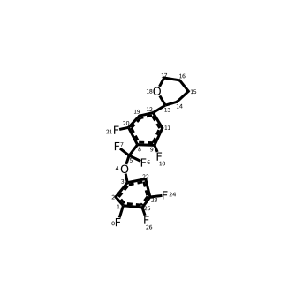 Fc1cc(OC(F)(F)c2c(F)cc(C3CCCCO3)cc2F)cc(F)c1F